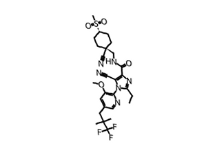 CCc1nc(C(=O)NC[C@]2(C#N)CC[C@@H](S(C)(=O)=O)CC2)c(C#N)n1-c1ncc(CC(C)(C)C(F)(F)F)cc1OC